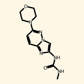 CNC(=O)Nc1cn2nc(N3CCOCC3)ccc2n1